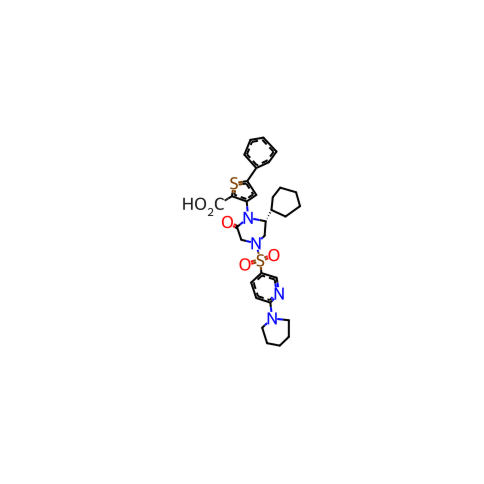 O=C(O)c1sc(-c2ccccc2)cc1N1C(=O)CN(S(=O)(=O)c2ccc(N3CCCCC3)nc2)C[C@H]1C1CCCCC1